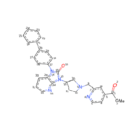 COC(=O)c1ccnc(CN2CCC(n3c(=O)n(-c4ccc(-c5ccccc5)cc4)c4cccnc43)C2)c1